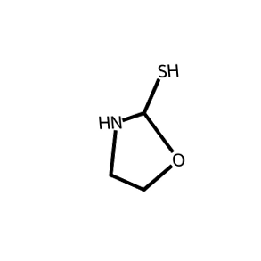 SC1NCCO1